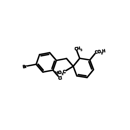 CC1C(C(=O)O)=CC=CC1(Cc1ccc(Br)cc1Cl)C(=O)O